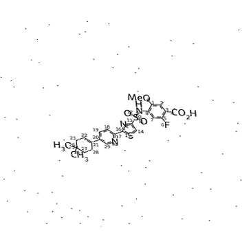 COc1cc(C(=O)O)c(F)cc1NS(=O)(=O)c1csc(-c2ccc(C3=CCC(C)(C)CC3)cn2)n1